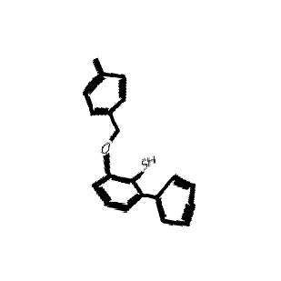 Cc1ccc(COc2cccc(-c3ccccc3)c2S)cc1